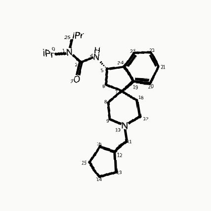 CC(C)N(C(=O)N[C@H]1CC2(CCN(CC3CCCC3)CC2)c2ccccc21)C(C)C